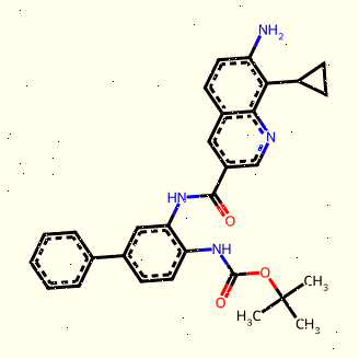 CC(C)(C)OC(=O)Nc1ccc(-c2ccccc2)cc1NC(=O)c1cnc2c(C3CC3)c(N)ccc2c1